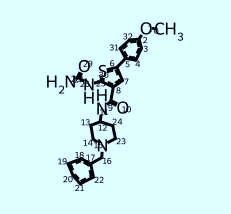 COc1ccc(-c2cc(C(=O)NC3CCN(Cc4ccccc4)CC3)c(NC(N)=O)s2)cc1